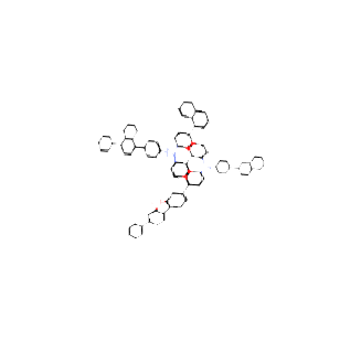 c1ccc(-c2ccc3c(c2)oc2cc(-c4ccc(N(c5ccc(-c6ccc7ccccc7c6)cc5)c5ccccc5-c5ccccc5N(c5ccc(-c6cccc7ccccc67)cc5)c5ccc(-c6ccc(-c7ccccc7)c7ccccc67)cc5)cc4)ccc23)cc1